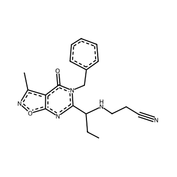 CCC(NCCC#N)c1nc2onc(C)c2c(=O)n1Cc1ccccc1